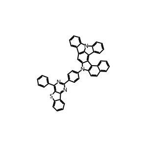 c1ccc(-c2nc(-c3ccc(-n4c5ccc6ccccc6c5c5c6c7ccccc7n7c8ccccc8c(cc54)c67)cc3)nc3c2sc2ccccc23)cc1